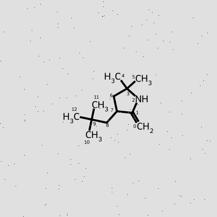 C=C1NC(C)(C)CC1CC(C)(C)C